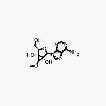 COC1[C@@]2(O)[C@@H](CO)O[C@@H](n3cnc4c(N)ncnc43)[C@@]12O